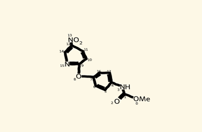 COC(=O)Nc1ccc(Oc2ccc([N+](=O)[O-])cn2)cc1